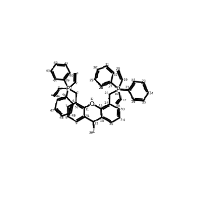 C=CP(C=C)(Cc1cccc2c1Oc1c(CP(C=C)(C=C)(c3ccccc3)c3ccccc3)cccc1C2I)(c1ccccc1)c1ccccc1